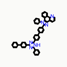 c1ccc(-c2ccc(C3=NC(c4ccccc4)NC(c4ccc(-c5ccc(-c6nc7c8cccnc8c8ccccc8c7n6-c6ccccc6)cc5)cc4)=N3)cc2)cc1